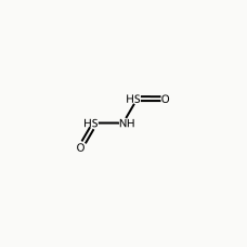 O=[SH]N[SH]=O